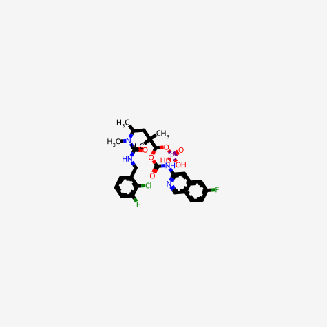 CC(CC(C)(C)C(OC(=O)Nc1cc2cc(F)ccc2cn1)OP(=O)(O)O)N(C)C(=O)NCc1cccc(F)c1Cl